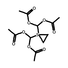 CC(=O)OC(OC(C)=O)[Si]1(C(OC(C)=O)OC(C)=O)CC1